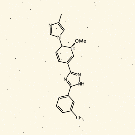 CO[C@H]1C=C(c2n[nH]c(-c3cccc(C(F)(F)F)c3)n2)C=CC1n1cnc(C)c1